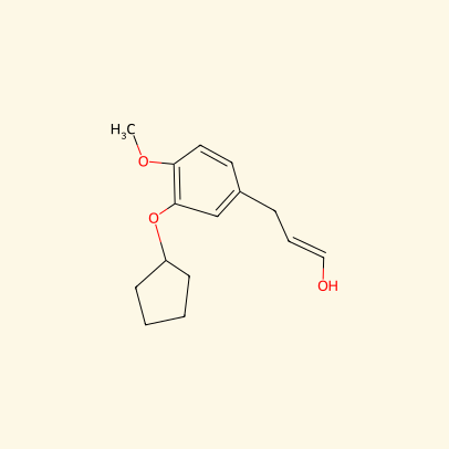 COc1ccc(C/C=C/O)cc1OC1CCCC1